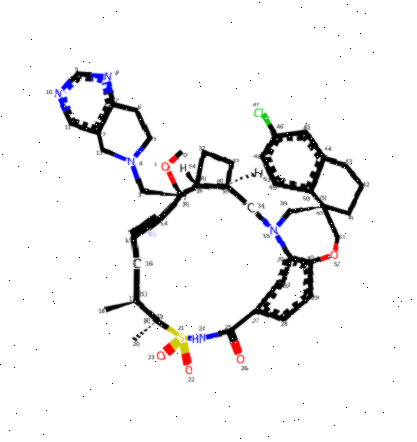 CO[C@@]1(CN2CCc3ncncc3C2)/C=C/C[C@H](C)[C@@H](C)S(=O)(=O)NC(=O)c2ccc3c(c2)N(C[C@@H]2CC[C@H]21)C[C@@]1(CCCc2cc(Cl)ccc21)CO3